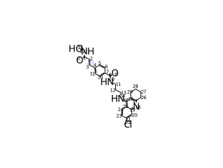 O=C(/C=C/c1ccc(C(=O)NCCCNc2c3c(nc4cc(Cl)ccc24)CCCC3)cc1)NO